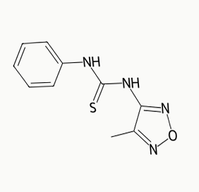 Cc1nonc1NC(=S)Nc1ccccc1